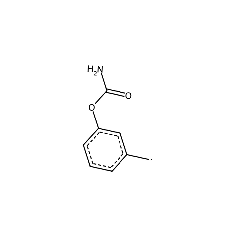 [CH2]c1cccc(OC(N)=O)c1